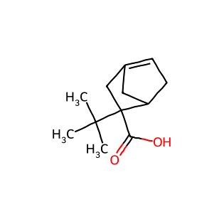 CC(C)(C)C1(C(=O)O)CC2=CCC1C2